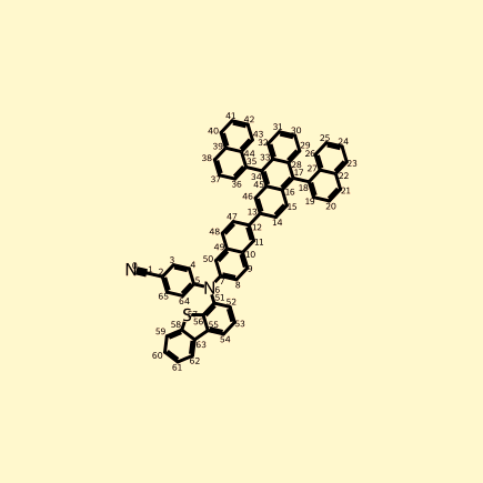 N#Cc1ccc(N(c2ccc3cc(-c4ccc5c(-c6cccc7ccccc67)c6ccccc6c(-c6cccc7ccccc67)c5c4)ccc3c2)c2cccc3c2sc2ccccc23)cc1